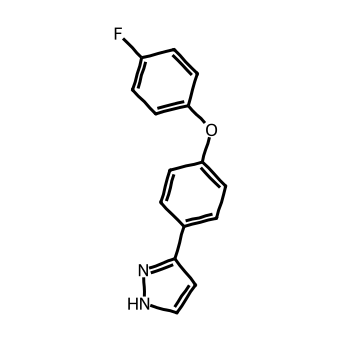 Fc1ccc(Oc2ccc(-c3cc[nH]n3)cc2)cc1